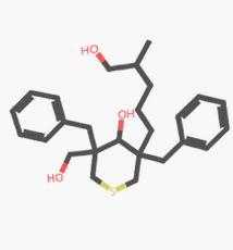 CC(CO)CCCC1(Cc2ccccc2)CSCC(CO)(Cc2ccccc2)C1O